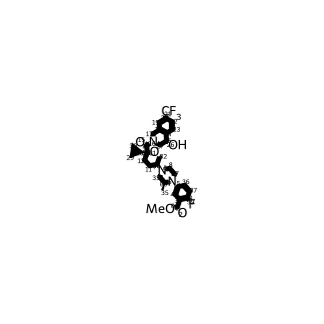 COC(=O)c1cc(N2CCN([C@@H]3CC[C@@](C(=O)N4Cc5cc(C(F)(F)F)ccc5C(O)C4)(C4CC4)OC3)C[C@@H]2C)ccc1F